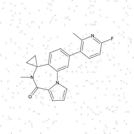 Cc1nc(F)ccc1-c1ccc2c(c1)-n1cccc1C(=O)N(C)C21CC1